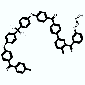 Cc1ccc(C(=O)c2ccc(Oc3ccc(C(c4ccc(Oc5ccc(C(=O)c6ccc(-c7ccc(C)c(C(=O)c8cccc(SOOO)c8)c7)cc6)cc5)cc4)(C(F)(F)F)C(F)(F)F)cc3)cc2)cc1